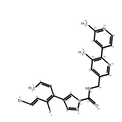 C\C=C/C(=C(F)\C=C\CC)c1cnn(C(=O)NCc2cnc(-c3ccnc(C)c3)c(C)c2)c1